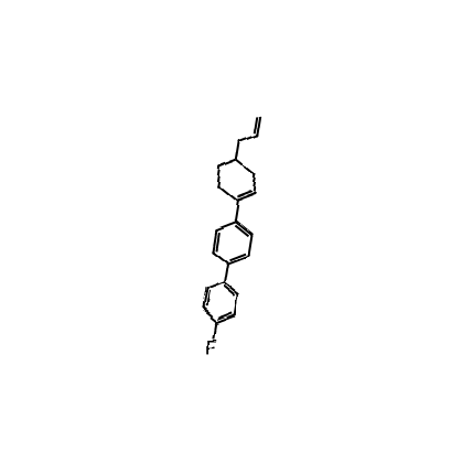 C=CCC1CC=C(c2ccc(-c3ccc(F)cc3)cc2)CC1